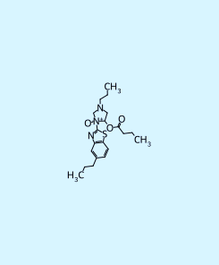 CCCC(=O)OC1CN(CCC)C[N+]1([O-])c1nc2cc(CCC)ccc2s1